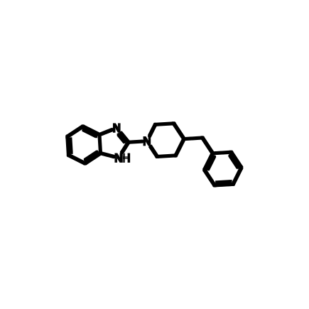 c1ccc(CC2CCN(c3nc4ccccc4[nH]3)CC2)cc1